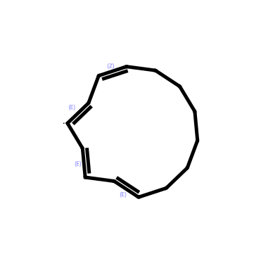 [C]1=C/C=C\CCCCCC/C=C/C=C/1